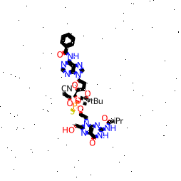 CC(C)C(=O)Nc1nc2c(nc(CO)n2CCOP(=S)(OCCC#N)OC[C@H]2O[C@@H](n3cnc4c(NC(=O)c5ccccc5)ncnc43)[CH][C@H]2O[Si](C)(C)C(C)(C)C)c(=O)[nH]1